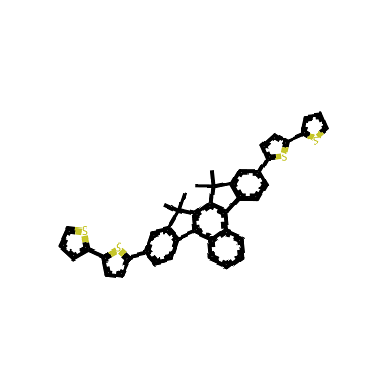 CC1(C)c2cc(-c3ccc(-c4cccs4)s3)ccc2-c2c1c1c(c3ccccc23)-c2ccc(-c3ccc(-c4cccs4)s3)cc2C1(C)C